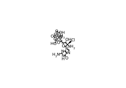 C[C@@H](OP(=O)(O)OP(=O)(O)OP(=O)(O)O)[C@H]1O[C@@H](n2cnc3c(=O)[nH]c(N)nc32)C(N)(C#CCl)[C@H]1O